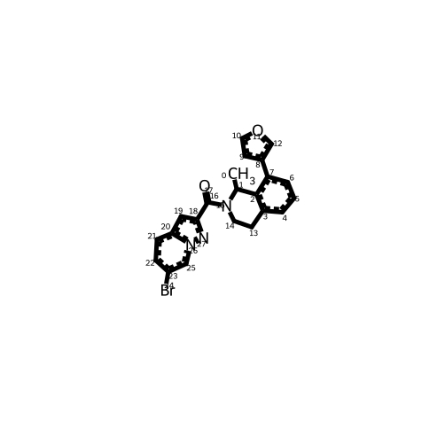 CC1c2c(cccc2-c2ccoc2)CCN1C(=O)c1cc2ccc(Br)cn2n1